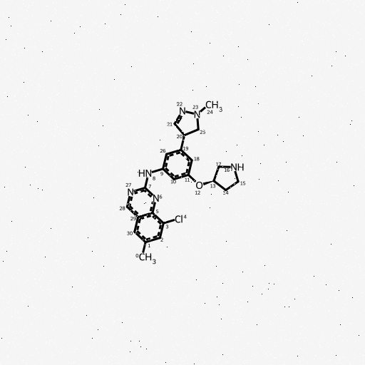 Cc1cc(Cl)c2nc(Nc3cc(O[C@@H]4CCNC4)cc(C4C=NN(C)C4)c3)ncc2c1